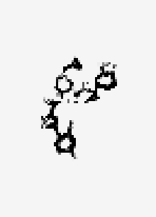 COc1cccc(C2(NC(=O)[C@H]3CN(CC4CC4)CC[C@@H]3NC(=O)c3cc(-c4ccc(F)cc4F)on3)CC2)c1